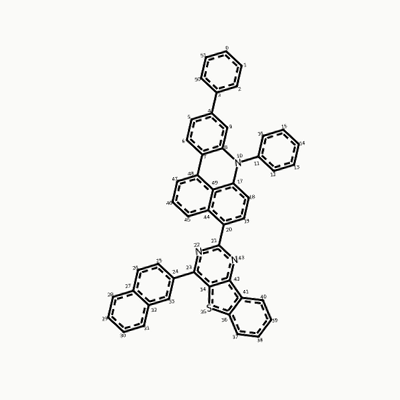 c1ccc(-c2ccc3c(c2)N(c2ccccc2)c2ccc(-c4nc(-c5ccc6ccccc6c5)c5sc6ccccc6c5n4)c4cccc-3c24)cc1